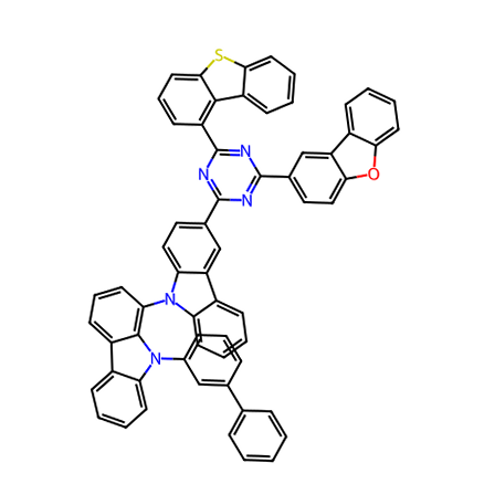 c1ccc(-c2cccc(-n3c4ccccc4c4cccc(-n5c6ccccc6c6cc(-c7nc(-c8ccc9oc%10ccccc%10c9c8)nc(-c8cccc9sc%10ccccc%10c89)n7)ccc65)c43)c2)cc1